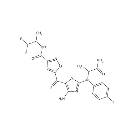 CC(NC(=O)c1cc(C(=O)c2sc(N(c3ccc(F)cc3)C(C)C(N)=O)nc2N)on1)C(F)F